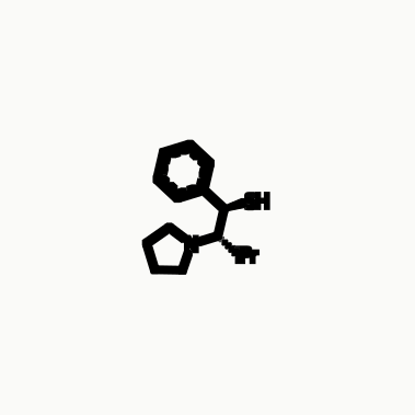 CC(C)[C@@H]([C@H](S)c1ccccc1)N1CCCC1